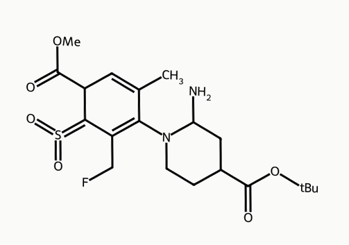 COC(=O)C1C=C(C)C(N2CCC(C(=O)OC(C)(C)C)CC2N)=C(CF)C1=S(=O)=O